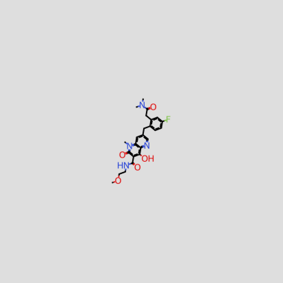 COCCNC(=O)c1c(O)c2ncc(Cc3ccc(F)cc3CC(=O)N(C)C)cc2n(C)c1=O